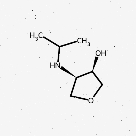 CC(C)N[C@@H]1COC[C@@H]1O